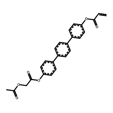 C=CC(=O)Oc1ccc(-c2ccc(-c3ccc(OC(=O)COC(C)=O)cc3)cc2)cc1